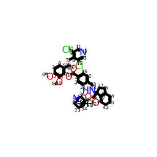 COc1ccc([C@H](Cc2c(Cl)cncc2Cl)OC(=O)c2ccc(CNC3(C(=O)O[C@H]4CN5CCC4CC5)CCC4=C3CCC=C4)cc2)cc1OC